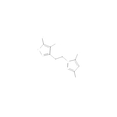 Cc1cc(C(C)C)n(CCc2n[nH]c(C)c2C)n1